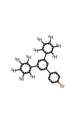 [2H]c1c([2H])c([2H])c(-c2cc(-c3ccc(Br)cc3)cc(-c3c([2H])c([2H])c([2H])c([2H])c3[2H])c2)c([2H])c1[2H]